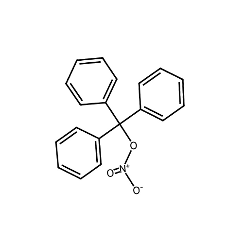 O=[N+]([O-])OC(c1ccccc1)(c1ccccc1)c1ccccc1